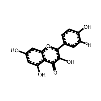 [2H]c1cc(-c2oc3cc(O)cc(O)c3c(=O)c2O)ccc1O